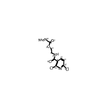 CNC(=O)OCCNC(=O)c1ccc(Cl)nc1Cl